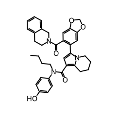 CCCCN(C(=O)c1cc(-c2cc3c(cc2C(=O)N2CCc4ccccc4C2)OCO3)n2c1CCCC2)c1ccc(O)cc1